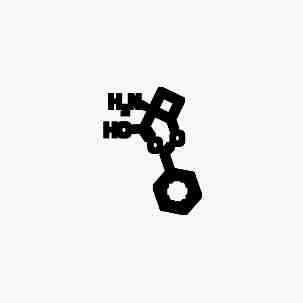 N[C@@]1(C(=O)O)CCC1OCc1ccccc1